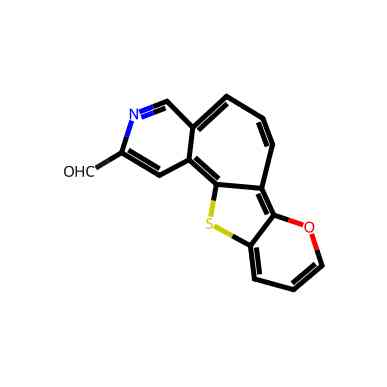 O=Cc1cc2c(cn1)=CC=Cc1c3c(sc1=2)=CC=CO3